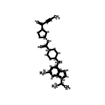 CC#CC(=O)N1CC[C@@H](OC(=O)N2CCC(Nc3cc(C)nc4c3ncn4C(C)C)CC2)C1